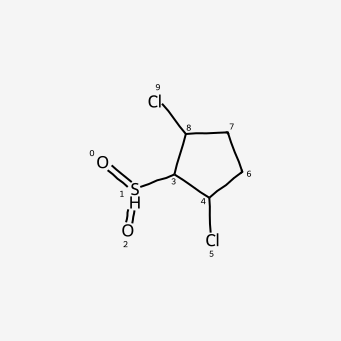 O=[SH](=O)C1C(Cl)CCC1Cl